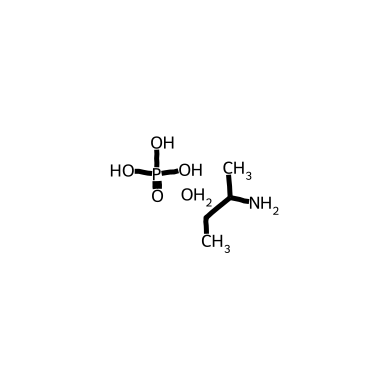 CCC(C)N.O.O=P(O)(O)O